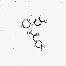 O=C(CN1CCC(F)(F)CC1)NC[C@@H]1CNCCO[C@H]1c1ccc(Cl)c(F)c1